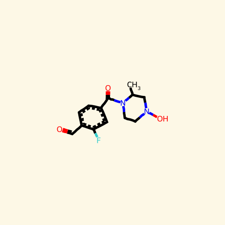 CC1CN(O)CCN1C(=O)c1ccc(C=O)c(F)c1